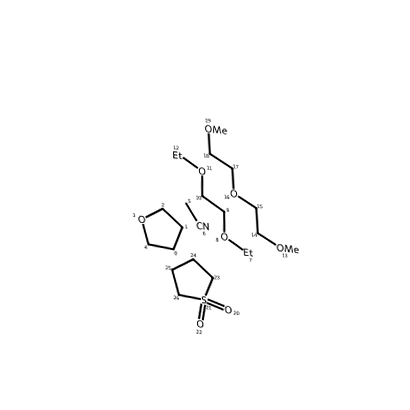 C1CCOC1.CC#N.CCOCCOCC.COCCOCCOC.O=S1(=O)CCCC1